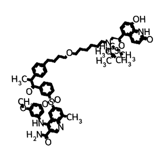 COc1cccc(Nc2c(C(N)=O)cnc3c(C)cc(S(=O)(=O)c4cccc(C(=O)C(C)c5ccc(CCCCOCCCCCCNC[C@H](O[Si](C)(C)C(C)(C)C)c6ccc(O)c7[nH]c(=O)ccc67)cc5)c4)cc23)c1